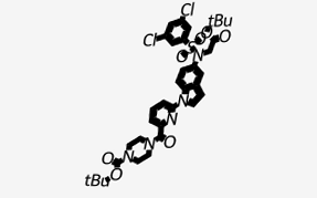 CC(C)(C)OC(=O)CN(c1ccc2c(ccn2-c2cccc(C(=O)N3CCN(C(=O)OC(C)(C)C)CC3)n2)c1)S(=O)(=O)c1cc(Cl)cc(Cl)c1